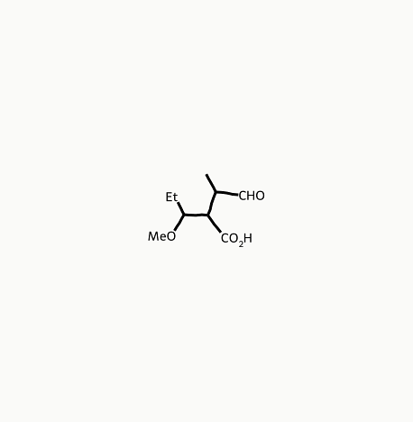 CCC(OC)C(C(=O)O)C(C)C=O